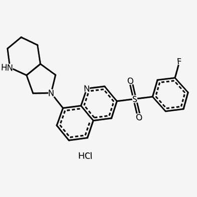 Cl.O=S(=O)(c1cccc(F)c1)c1cnc2c(N3CC4CCCNC4C3)cccc2c1